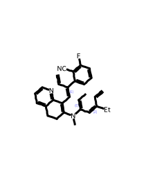 C=C/C(=C\C(=C/C)N(C)C1=C(/C=C(\C=C)c2cccc(F)c2C#N)c2ncccc2CC1)CC